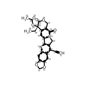 C#Cc1c2c(nc3cc4c(cc13)OCO4)-c1cc3c(c(=O)n1C2)COC(=O)[C@@]3(CC)OC(C)=O